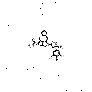 Cc1c(C(N)=O)sc2c1C(CC1CCCC1)N(C1=NOC(c3cc(Cl)c(F)c(Cl)c3)(C(F)(F)F)C1)C2